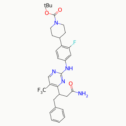 CC(C)(C)OC(=O)N1CCC(c2ccc(Nc3ncc(C(F)(F)F)c(C(CC(N)=O)Cc4ccccc4)n3)cc2F)CC1